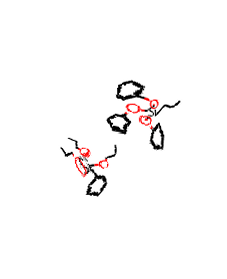 CCCC[Si](Oc1ccccc1)(Oc1ccccc1)Oc1ccccc1.CCCO[Si](OCCC)(OCCC)c1ccccc1